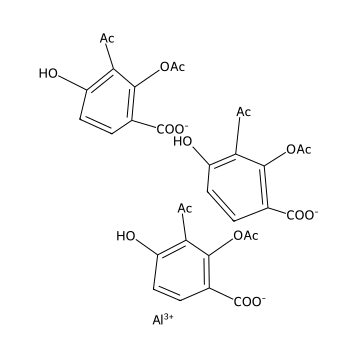 CC(=O)Oc1c(C(=O)[O-])ccc(O)c1C(C)=O.CC(=O)Oc1c(C(=O)[O-])ccc(O)c1C(C)=O.CC(=O)Oc1c(C(=O)[O-])ccc(O)c1C(C)=O.[Al+3]